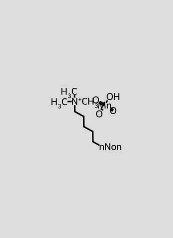 CCCCCCCCCCCCCC[N+](C)(C)C.[O]=[Mn](=[O])(=[O])[OH]